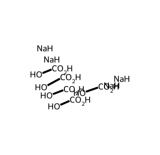 O=C(O)O.O=C(O)O.O=C(O)O.O=C(O)O.O=C(O)O.[NaH].[NaH].[NaH].[NaH]